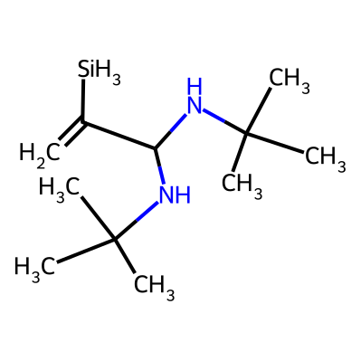 C=C([SiH3])C(NC(C)(C)C)NC(C)(C)C